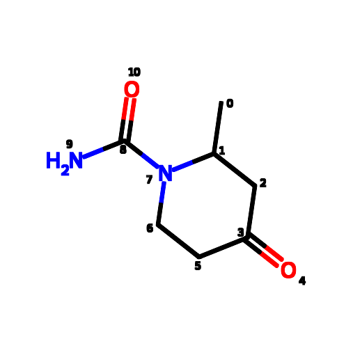 CC1CC(=O)CCN1C(N)=O